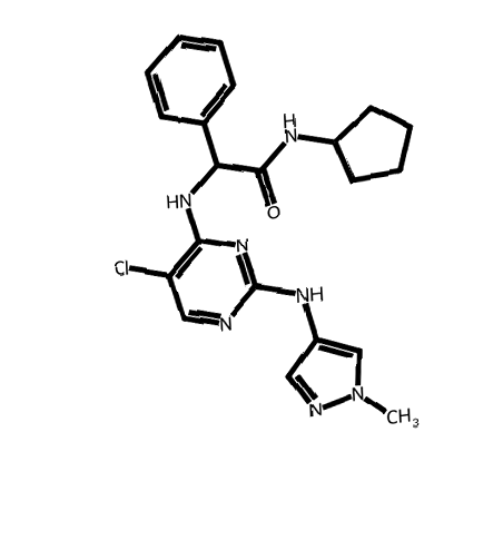 Cn1cc(Nc2ncc(Cl)c(NC(C(=O)NC3CCCC3)c3ccccc3)n2)cn1